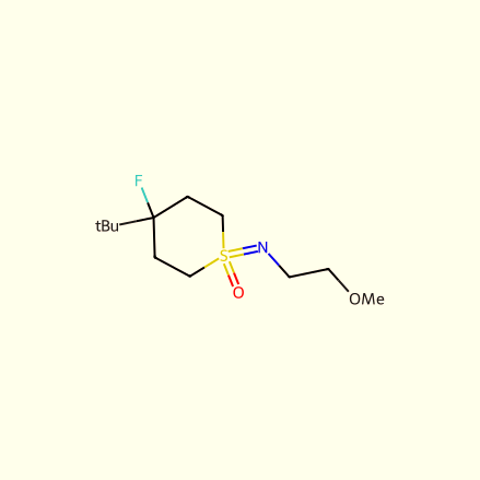 COCCN=S1(=O)CCC(F)(C(C)(C)C)CC1